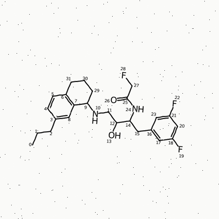 CCCc1ccc2c(c1)C(NCC(O)C(Cc1cc(F)cc(F)c1)NC(=O)CF)CCC2